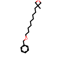 CC1(CCCCCCCCCOCc2ccccc2)COC1